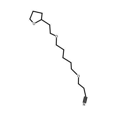 N#CCCOCCCCCOCCC1CCCO1